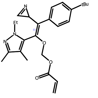 C=CC(=O)OCO/C(=C(\c1ccc(C(C)(C)C)cc1)C1C=N1)c1c(C)c(C)nn1CC